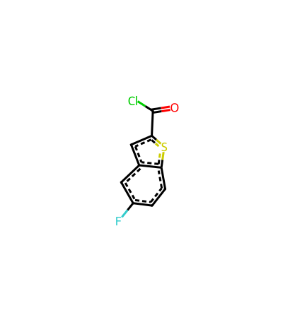 O=C(Cl)c1cc2cc(F)ccc2s1